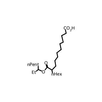 CCCCCCC(CCCCCCCCCC(=O)O)C(=O)OC(CC)CCCCC